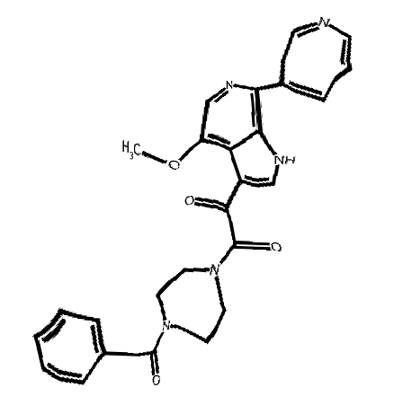 COc1cnc(-c2cccnc2)c2[nH]cc(C(=O)C(=O)N3CCN(C(=O)c4ccccc4)CC3)c12